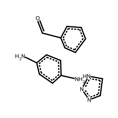 Nc1ccc(N)cc1.O=Cc1ccccc1.c1c[nH]nn1